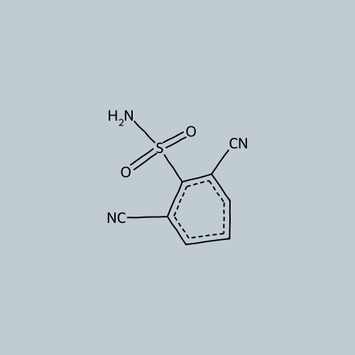 N#Cc1cccc(C#N)c1S(N)(=O)=O